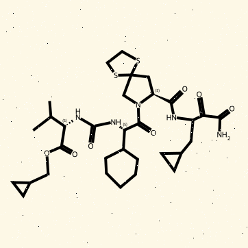 CC(C)[C@H](NC(=O)N[C@H](C(=O)N1CC2(C[C@H]1C(=O)NC(CC1CC1)C(=O)C(N)=O)SCCS2)C1CCCCC1)C(=O)OCC1CC1